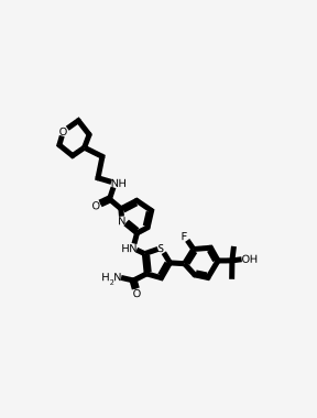 CC(C)(O)c1ccc(-c2cc(C(N)=O)c(Nc3cccc(C(=O)NCCC4CCOCC4)n3)s2)c(F)c1